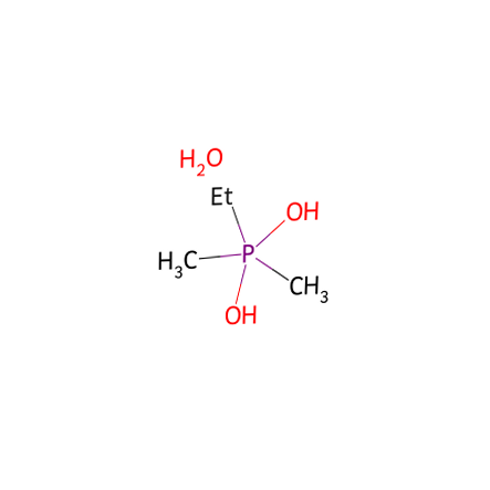 CCP(C)(C)(O)O.O